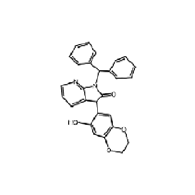 O=C1C(c2cc3c(cc2O)OCCO3)c2cccnc2N1C(c1ccccc1)c1ccccc1